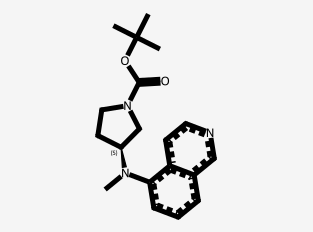 CN(c1cccc2cnccc12)[C@H]1CCN(C(=O)OC(C)(C)C)C1